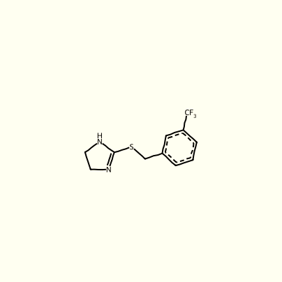 FC(F)(F)c1cccc(CSC2=NCCN2)c1